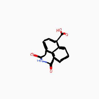 O=C(O)c1ccc2c3c(cccc13)C(=O)NC2=O